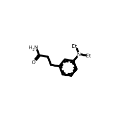 CCN(CC)c1cccc(CCC(N)=O)c1